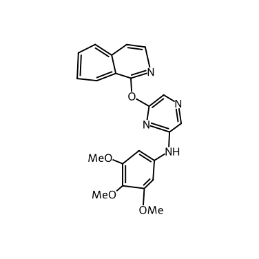 COc1cc(Nc2cncc(Oc3nccc4ccccc34)n2)cc(OC)c1OC